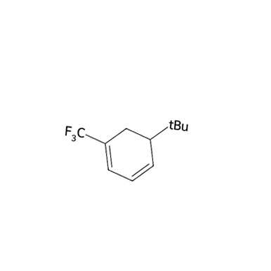 CC(C)(C)C1C=CC=C(C(F)(F)F)C1